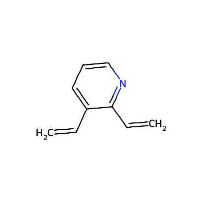 C=Cc1cccnc1C=C